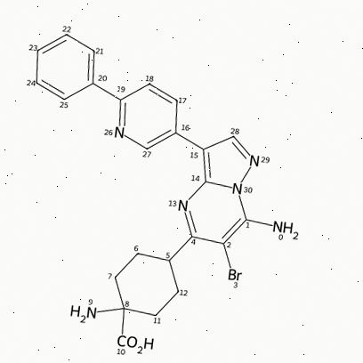 Nc1c(Br)c(C2CCC(N)(C(=O)O)CC2)nc2c(-c3ccc(-c4ccccc4)nc3)cnn12